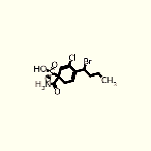 CCCC(Br)C1=CCC(C(N)=O)(S(=O)(=O)O)C=C1Cl